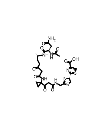 CC(=O)N[C@H](CC(N)=O)C(=O)N[C@@H](C)CCC(=O)CC(=O)NC1(C(=O)CC(=O)NCC2=N[C@H](c3nc(C(=O)O)cs3)CS2)CC1